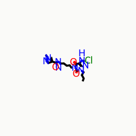 CCCCn1c(=O)n(CCCCc2noc(-c3cnn(C)c3)n2)c(=O)c2[nH]c(Cl)nc21